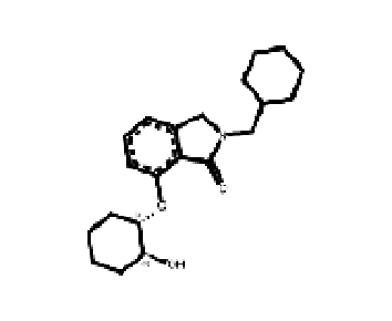 O=C1c2c(cccc2O[C@H]2CCCC[C@@H]2O)CN1CC1CCCCC1